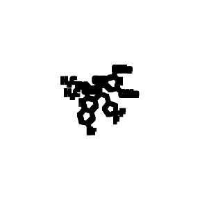 COc1cc(C(O)(CCN(C)C)C(CC2CCC(F)(F)C2)c2cc3cc(Br)ccc3nc2OC)cc(OC)n1